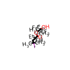 CCC(C)(CC(C)(C)I)C(=O)OC(C)(C)C(O)(C(F)(F)F)C(F)(F)F